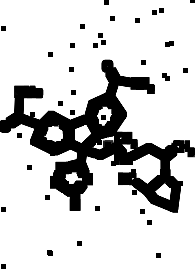 C=C(CN[C@H](C)CC1(c2nn[nH]n2)c2ccc(C(N)=O)cc2-c2cc(C(=O)NC)ccc21)N1CCCC1C#N